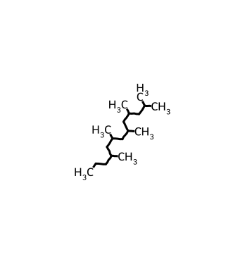 CCCC(C)CC(C)CC(C)CC(C)CC(C)C